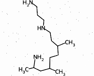 CC(N)CC(C)CCC(C)CCNCCCN